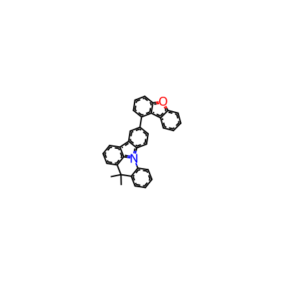 CC1(C)c2ccccc2-n2c3ccc(-c4cccc5oc6ccccc6c45)cc3c3cccc1c32